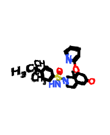 CC(C)(C)c1ccc(S(=N)(=O)N2CCC3=CC(=O)CCC3(COc3ccccn3)C2)cc1